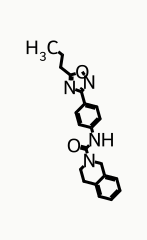 CCCc1nc(-c2ccc(NC(=O)N3CCc4ccccc4C3)cc2)no1